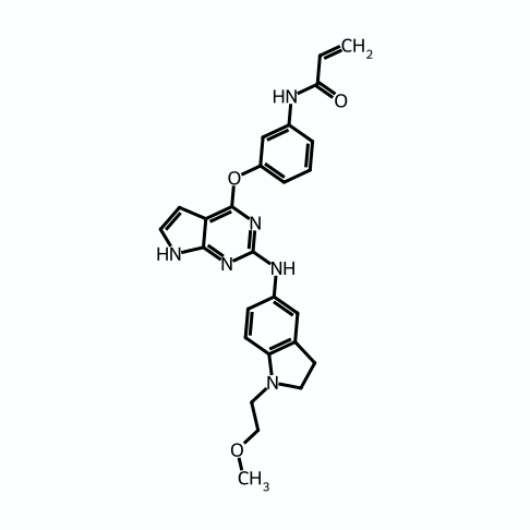 C=CC(=O)Nc1cccc(Oc2nc(Nc3ccc4c(c3)CCN4CCOC)nc3[nH]ccc23)c1